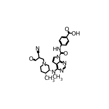 C[C@@H]1CCN(CC(C#N)C=O)C[C@@H]1N(C)c1ncnc2c1ccn2C(=O)Nc1ccc(C(=O)O)cc1